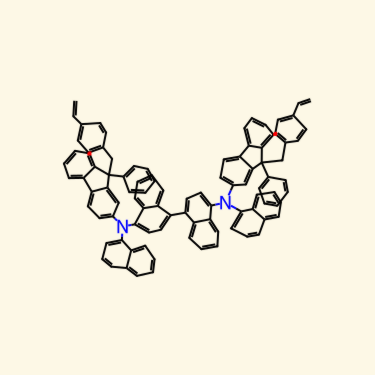 C=Cc1ccc(CC2(c3ccccc3)c3ccccc3-c3ccc(N(c4cccc5ccccc45)c4ccc(-c5ccc(N(c6ccc7c(c6)C(Cc6ccc(C=C)cc6)(c6ccccc6)c6ccccc6-7)c6cccc7ccccc67)c6ccccc56)c5ccccc45)cc32)cc1